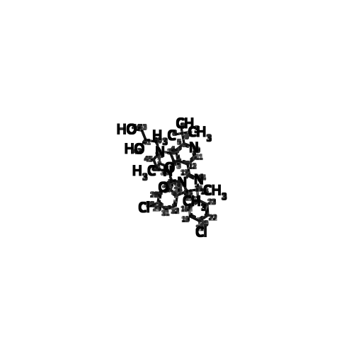 CCOc1cc(C(C)(C)C)ncc1C1=NC(C)(c2ccc(Cl)cc2)C(C)(c2ccc(Cl)cc2)N1C(=O)N1CCN(C[C@H](O)CO)CC1